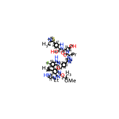 CCN(c1nc(OCC(C)OC)nc2c(OCc3ccc(-c4cn(C(C(=O)N5C[C@H](O)C[C@H]5C(=O)NC(CO)c5ccc(-c6scnc6C)cc5)C(C)C)nn4)cc3)c(-c3c(C)c(F)cc4[nH]ncc34)c(C3CC3)cc12)[C@H]1CCNC1